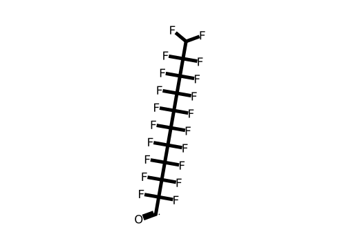 O=[C]C(F)(F)C(F)(F)C(F)(F)C(F)(F)C(F)(F)C(F)(F)C(F)(F)C(F)(F)C(F)(F)C(F)F